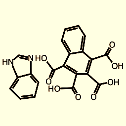 O=C(O)c1c(C(=O)O)c(C(=O)O)c2ccccc2c1C(=O)O.c1ccc2[nH]cnc2c1